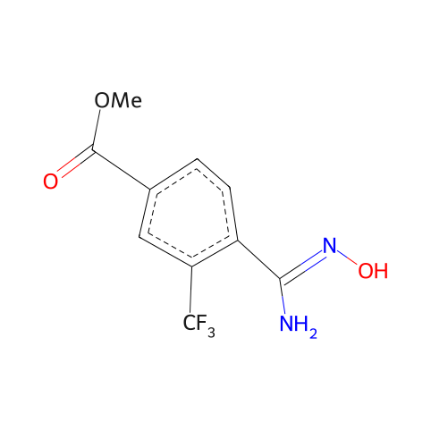 COC(=O)c1ccc(/C(N)=N/O)c(C(F)(F)F)c1